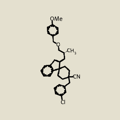 COc1ccc(COC[C@H](C)CC2Cc3ccccc3C23CCC(C#N)(Cc2cccc(Cl)c2)CC3)cc1